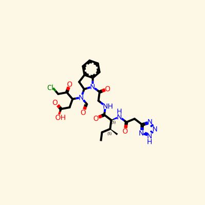 CC[C@H](C)[C@H](NC(=O)Cc1nn[nH]n1)C(=O)NCC(=O)N1c2ccccc2CC1N(C=O)C(CC(=O)O)C(=O)CCl